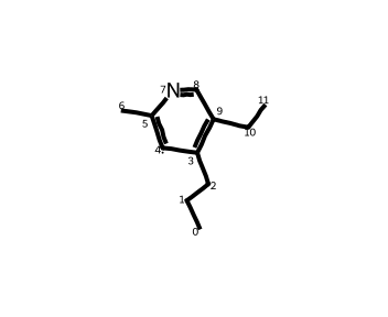 CCCc1[c]c(C)ncc1CC